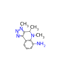 CC1c2c(nnn2C)-c2cccc(N)c2N1C